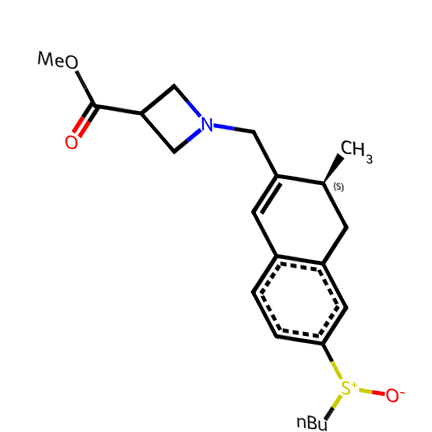 CCCC[S+]([O-])c1ccc2c(c1)C[C@H](C)C(CN1CC(C(=O)OC)C1)=C2